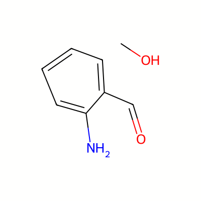 CO.Nc1ccccc1C=O